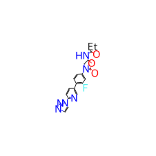 CCC(=O)NC1CN(c2ccc(-c3ccc(-n4ccnn4)nc3)c(F)c2)C(=O)O1